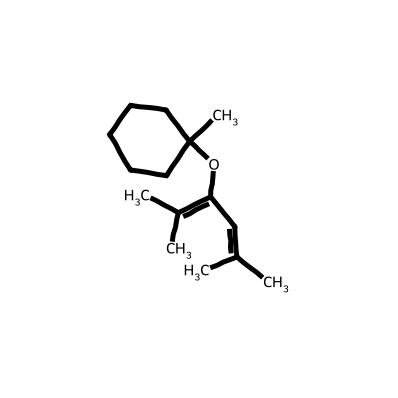 CC(C)=CC(OC1(C)CCCCC1)=C(C)C